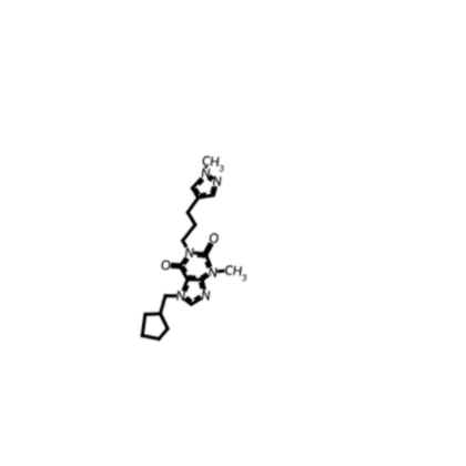 Cn1cc(CCCn2c(=O)c3c(ncn3CC3CCCC3)n(C)c2=O)cn1